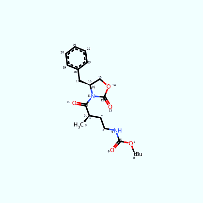 C[C@H](CCNC(=O)OC(C)(C)C)C(=O)N1C(=O)OC[C@@H]1Cc1ccccc1